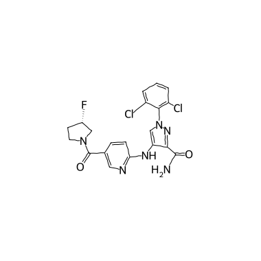 NC(=O)c1nn(-c2c(Cl)cccc2Cl)cc1Nc1ccc(C(=O)N2CC[C@H](F)C2)cn1